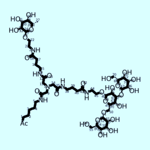 CC(=O)CCCCCNC(=O)CN(CC(=O)NCCCC(=O)NCCO[C@@H]1O[C@@H](C)[C@@H](O)[C@@H](O)[C@@H]1O)CC(=O)NCCCC(=O)NCCO[C@H]1O[C@H](CO[C@H]2O[C@H](CO)[C@@H](O)[C@H](O)[C@@H]2O)[C@@H](O)[C@H](O[C@H]2O[C@H](CO)[C@@H](O)[C@H](O)[C@@H]2O)[C@@H]1O